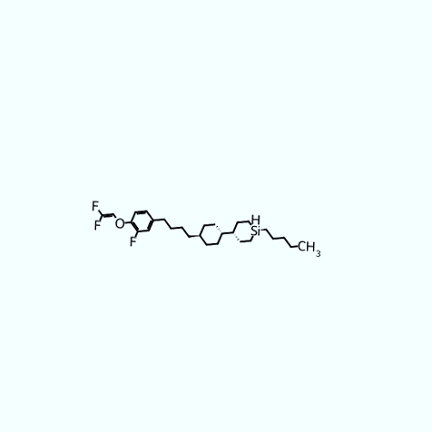 CCCCC[Si@H]1CC[C@H]([C@H]2CC[C@H](CCCCc3ccc(OC=C(F)F)c(F)c3)CC2)CC1